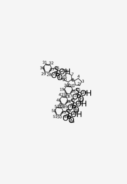 C1CCCC1.C1CCCCC1.O=S(=O)(O)Sc1ccccc1.O=S(=O)(O)Sc1ccccc1.O=S(=O)(O)Sc1ccccc1.O=S(=O)(O)Sc1ccccc1